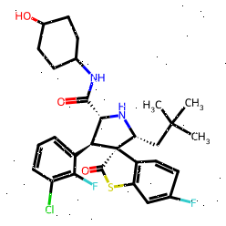 CC(C)(C)C[C@H]1N[C@@H](C(=O)NC2CCC(O)CC2)[C@H](c2cccc(Cl)c2F)[C@@]12C(=O)Sc1cc(F)ccc12